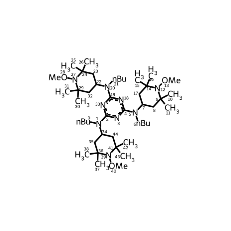 CCCCN(c1nc(N(CCCC)C2CC(C)(C)N(OC)C(C)(C)C2)nc(N(CCCC)C2CC(C)(C)N(OC)C(C)(C)C2)n1)C1CC(C)(C)N(OC)C(C)(C)C1